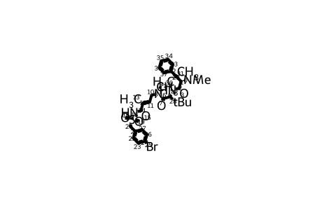 CN[C@H](C(=O)NC(C(=O)N(C)C/C=C(\C)C(=O)NS(=O)(=O)Cc1ccc(Br)cc1)C(C)(C)C)C(C)(C)c1ccccc1